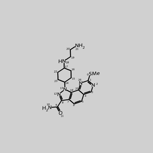 CSc1ncc2ccc3c(C(N)=O)nn(C4CCC(NCCN)CC4)c3c2n1